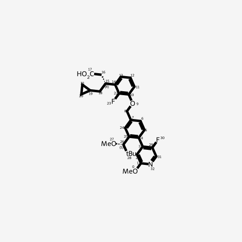 COc1cc(-c2ccc(COc3cccc([C@@H](CC(=O)O)CC4CC4)c3F)cc2[C@@H](OC)C(C)(C)C)c(F)cn1